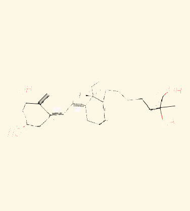 C=C1/C(=C\C=C2/CCC[C@]3(C)[C@@H]([C@H](C)CCCC(C)(O)CO)CC[C@@H]23)C[C@@H](O)C[C@@H]1O